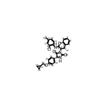 C[C@@H](c1ccccc1)C(C(=O)Nc1ccc(I)cc1Cl)N1C(=O)N[C@H](c2ccc(OCC3CC3)cc2)C1=O